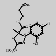 CCCCCCCCCCCCOC(=O)C1(C)CC(C(=O)OCC)=NN1c1ccc(Cl)cc1Cl